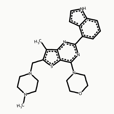 Cc1c(CN2CCN(C)CC2)sc2c(N3CCOCC3)nc(-c3cccc4[nH]ccc34)nc12